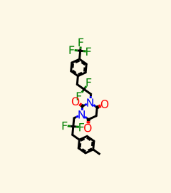 Cc1ccc(CC(F)(F)CN2C(=O)CC(=O)N(CC(F)(F)Cc3ccc(C(F)(F)F)cc3)C2=O)cc1